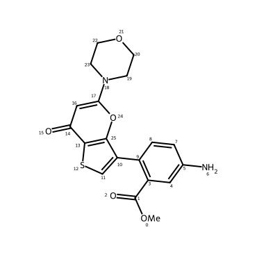 COC(=O)c1cc(N)ccc1-c1csc2c(=O)cc(N3CCOCC3)oc12